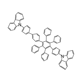 c1ccc(-c2c(-c3ccccc3)c(-c3ccc(-n4c5ccccc5c5ccccc54)cc3)c(-c3ccccc3)c(-c3ccccc3)c2-c2ccc(-c3ccc(-n4c5ccccc5c5ccccc54)cc3)cc2)cc1